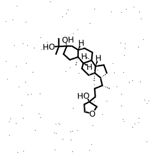 C[C@H](CC[C@@]1(O)CCOC1)[C@H]1CC[C@H]2[C@@H]3CC[C@H]4C[C@](O)(C(C)(C)O)CC[C@]4(C)[C@H]3CC[C@]12C